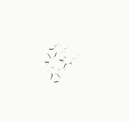 CCCC(=O)/C(=C/Nc1ccccc1COC(=O)c1ccc(OC)cc1)C(=O)OCC